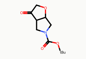 CC(C)(C)OC(=O)N1CC2OCC(=O)C2C1